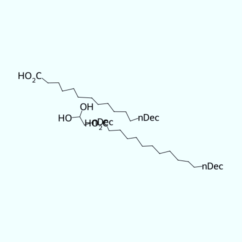 CCCCCCCCCCCC(O)O.CCCCCCCCCCCCCCCCCCCCCC(=O)O.CCCCCCCCCCCCCCCCCCCCCC(=O)O